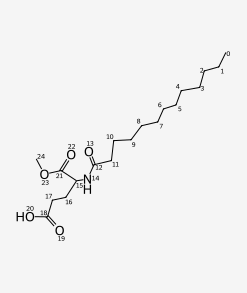 CCCCCCCCCCCCC(=O)NC(CCC(=O)O)C(=O)OC